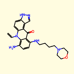 C=Cn1c2ccc3[nH]ncc3c2c(=O)c2c(NCCCCN3CCOCC3)ccc(N)c21